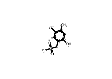 Cc1cc(O)c(CS(N)(=O)=O)cc1Cl